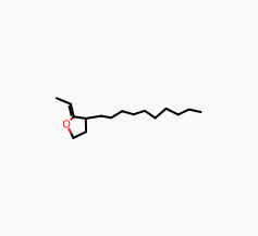 CC=C1OCCC1CCCCCCCCCC